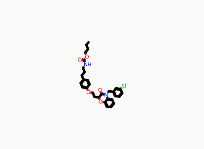 CCCCOC(=O)NCCCc1ccc(OCCC2Oc3ccccc3N(Cc3cccc(Cl)c3)C2=O)cc1